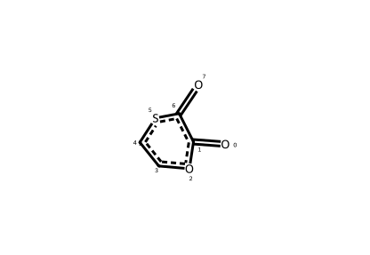 O=c1oc[c]sc1=O